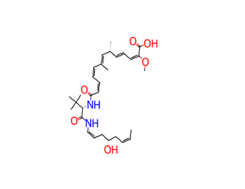 C/C=C\C[C@H](O)C/C=C\NC(=O)[C@@H](NC(=O)\C=C/C=C\C(C)=C\[C@H](C)/C=C/C=C(/OC)C(=O)O)C(C)(C)C